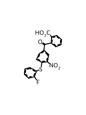 O=C(O)c1ccccc1C(=O)c1ccc(Sc2ccccc2F)c([N+](=O)[O-])c1